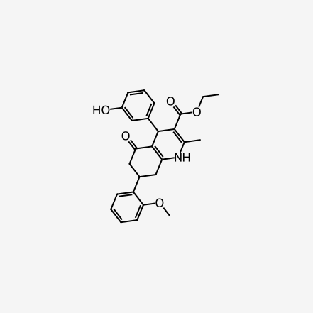 CCOC(=O)C1=C(C)NC2=C(C(=O)CC(c3ccccc3OC)C2)C1c1cccc(O)c1